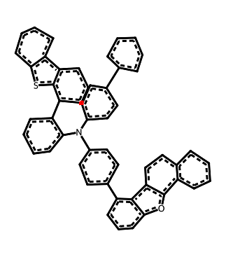 c1ccc(-c2ccc(N(c3ccc(-c4cccc5oc6c7ccccc7ccc6c45)cc3)c3ccccc3-c3cccc4c3sc3ccccc34)cc2)cc1